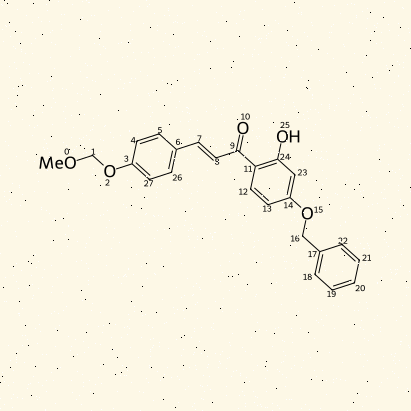 COCOc1ccc(/C=C/C(=O)c2ccc(OCc3ccccc3)cc2O)cc1